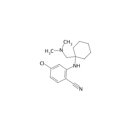 CN(C)CC1(Nc2cc(Cl)ccc2C#N)CCCCC1